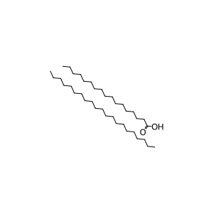 CCCCCCCCCCCCCCCCC(=O)O.CCCCCCCCCCCCCCCCCCCCC